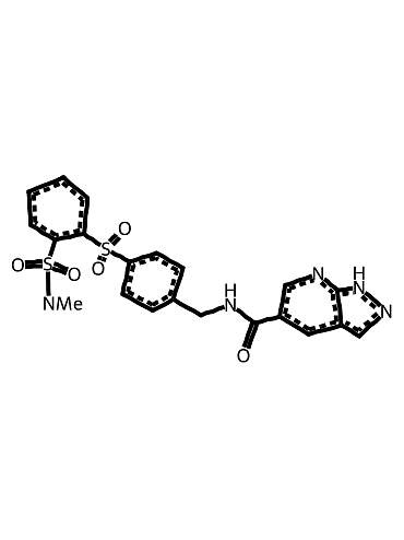 CNS(=O)(=O)c1ccccc1S(=O)(=O)c1ccc(CNC(=O)c2cnc3[nH]ncc3c2)cc1